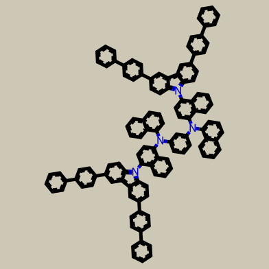 c1ccc(-c2ccc(-c3ccc4c(c3)c3cc(-c5ccc(-c6ccccc6)cc5)ccc3n4-c3ccc(N(c4cccc(N(c5cccc6ccccc56)c5ccc(-n6c7ccc(-c8ccc(-c9ccccc9)cc8)cc7c7cc(-c8ccc(-c9ccccc9)cc8)ccc76)c6ccccc56)c4)c4cccc5ccccc45)c4ccccc34)cc2)cc1